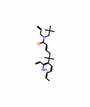 C=CCN(CC(C)(C)C)C(=O)/C=C/CC(C)(C)C(/C=C\C=C/C)=C(/N)C=C